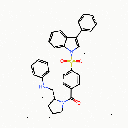 O=C(c1ccc(S(=O)(=O)n2cc(-c3ccccc3)c3ccccc32)cc1)N1CCCC1CNc1ccccc1